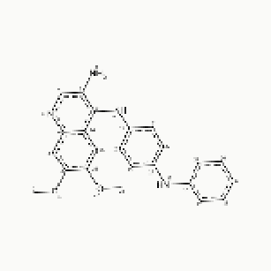 COc1cc2ncc(N)c(Nc3ccc(Nc4ccccc4)cc3)c2cc1OC